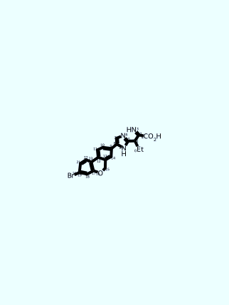 CCC(C(=N)C(=O)O)c1ncc(-c2ccc3c(c2)COc2cc(Br)ccc2-3)[nH]1